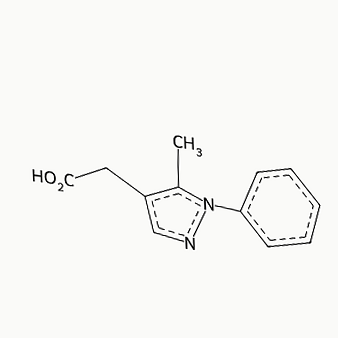 Cc1c(CC(=O)O)cnn1-c1ccccc1